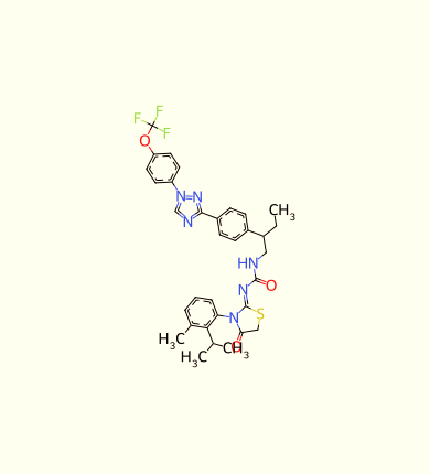 CCC(CNC(=O)/N=C1\SCC(=O)N1c1cccc(C)c1C(C)C)c1ccc(-c2ncn(-c3ccc(OC(F)(F)F)cc3)n2)cc1